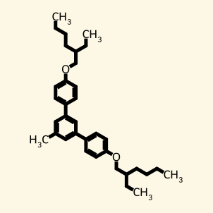 CCCCC(CC)COc1ccc(-c2cc(C)cc(-c3ccc(OCC(CC)CCCC)cc3)c2)cc1